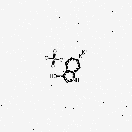 O=S(=O)([O-])[O-].Oc1c[nH]c2ccccc12.[K+].[K+]